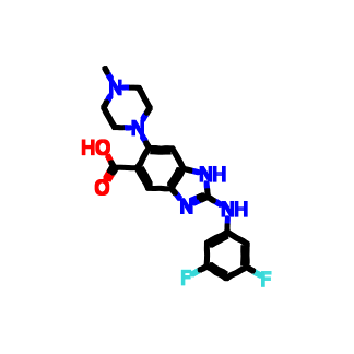 CN1CCN(c2cc3[nH]c(Nc4cc(F)cc(F)c4)nc3cc2C(=O)O)CC1